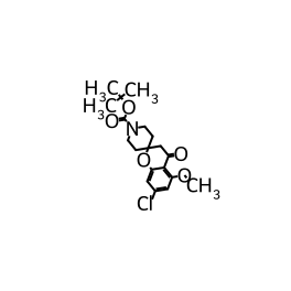 COc1cc(Cl)cc2c1C(=O)CC1(CCN(C(=O)OC(C)(C)C)CC1)O2